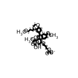 COCCCN1CCOc2ccc(CO[C@H]3C(C(C)(C)C)N(C(=O)O)C[C@@H](OCCCO[N+](=O)[O-])[C@@H]3c3ccc(OC)cc3)cc21